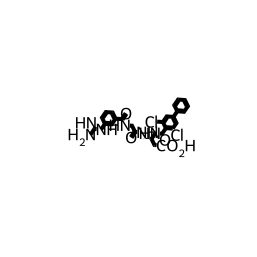 N=C(N)Nc1cccc(C(=O)NCC(=O)NC[C@@H](CC(=O)O)NC(=O)c2c(Cl)cc(-c3ccccc3)cc2Cl)c1